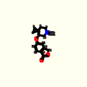 CCN1CCC2(CC2)C(Oc2ccc3c(c2)COC3=O)C1